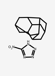 C1C2CC3C4CC5CC(C14)C(C2)C3C5.O=[N+]([O-])c1nnn[nH]1